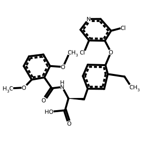 CCc1cc(C[C@H](NC(=O)c2c(OC)cccc2OC)C(=O)O)ccc1Oc1c(Cl)cncc1Cl